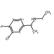 CCNC(C)c1cc(Cl)c(F)cn1